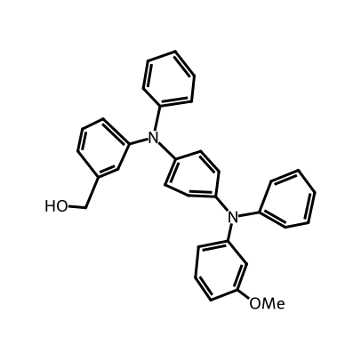 COc1cccc(N(c2ccccc2)c2ccc(N(c3ccccc3)c3cccc(CO)c3)cc2)c1